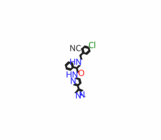 Cn1cc(-c2ccc(NC(=O)C(CNCCc3ccc(Cl)cc3C#N)c3ccccc3)nc2)cn1